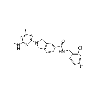 CNc1nc(C)nc(N2Cc3ccc(C(=O)NCc4ccc(Cl)cc4Cl)cc3C2)n1